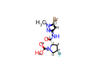 Cn1nc(NC(=O)[C@@H]2C[C@@H](F)CN2C(=O)O)cc1Br